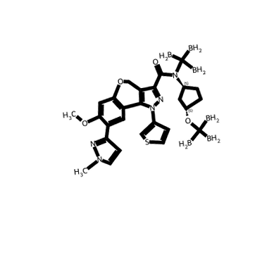 BC(B)(B)O[C@H]1CC[C@H](N(C(=O)c2nn(-c3ccsc3)c3c2COc2cc(OC)c(-c4ccn(C)n4)cc2-3)C(B)(B)B)C1